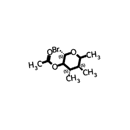 CC(=O)OC1[C@H](Br)OC(C)[C@@H](C)[C@@H]1C